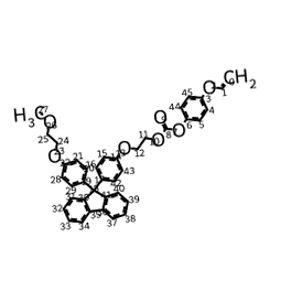 C=COc1ccc(OC(=O)OCCOc2ccc(C3(c4ccc(OCCOC)cc4)c4ccccc4-c4ccccc43)cc2)cc1